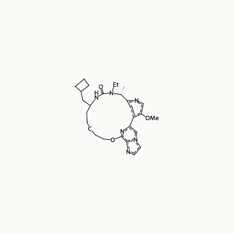 CCN1C(=O)NC(CC2CCC2)CCCCCOc2nc(cn3ccnc23)-c2cc(ncc2OC)[C@H]1C